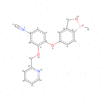 [C-]#[N+]c1ccc(Oc2ccc3c(c2)COB3C)c(OCc2ccccn2)c1